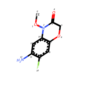 CCON1C(=O)COc2cc(F)c(N)cc21